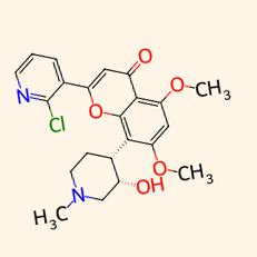 COc1cc(OC)c2c(=O)cc(-c3cccnc3Cl)oc2c1[C@H]1CCN(C)C[C@H]1O